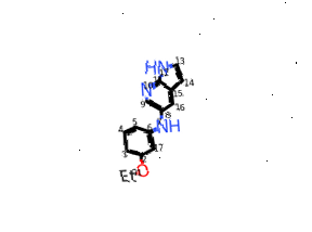 CCOc1cccc(Nc2cnc3[nH]ccc3c2)c1